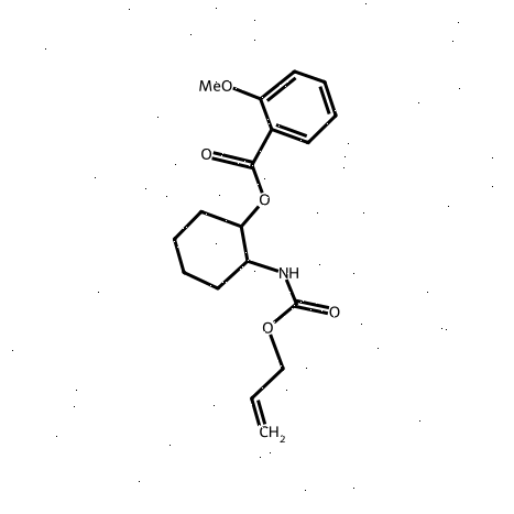 C=CCOC(=O)NC1CCCCC1OC(=O)c1ccccc1OC